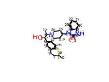 CC1CCc2cc(C(O)C(C)N3CCC(n4c(=O)[nH]c5ccccc54)CC3)ccc2S1